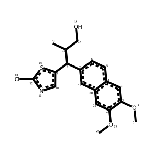 COc1cc2ccc(C(c3cnc(Cl)s3)C(C)CO)cc2cc1OC